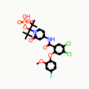 COc1cc(F)ccc1Oc1cc(Cl)c(Cl)cc1C(=O)Nc1ccn(C(OP(=O)(O)O)(C(C)(C)C)C(C)(C)C)c(=O)c1